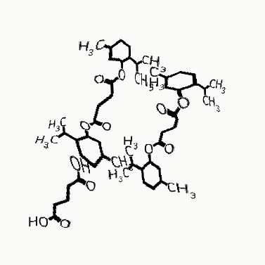 CC1CCC(C(C)C)C(OC(=O)CCC(=O)OC2CC(C)CCC2C(C)C)C1.CC1CCC(C(C)C)C(OC(=O)CCC(=O)OC2CC(C)CCC2C(C)C)C1.O=C(O)CCCC(=O)O